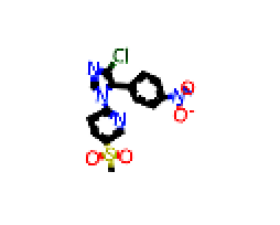 CS(=O)(=O)c1ccc(-n2cnc(Cl)c2-c2ccc([N+](=O)[O-])cc2)nc1